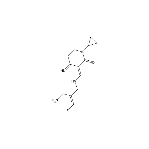 N=C1CCN(C2CC2)C(=O)/C1=C/NC/C(=C/F)CN